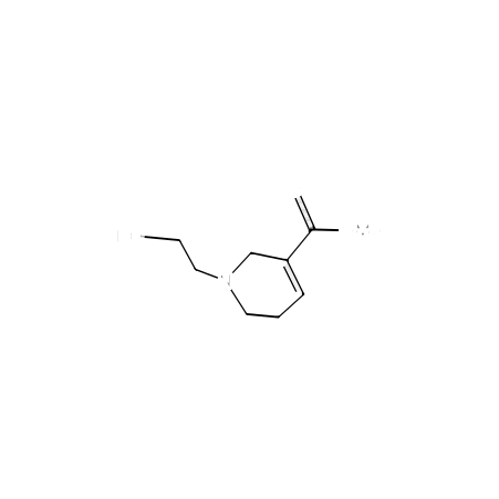 COC(=O)C1=CCCN(CCO)C1